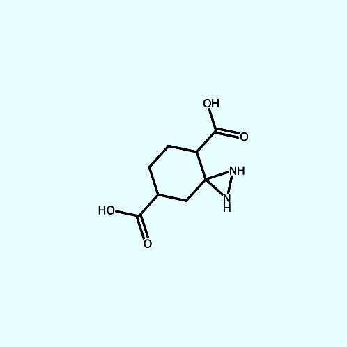 O=C(O)C1CCC(C(=O)O)C2(C1)NN2